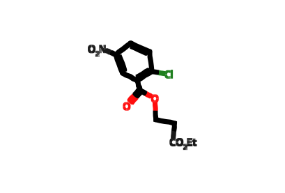 CCOC(=O)CCOC(=O)c1cc([N+](=O)[O-])ccc1Cl